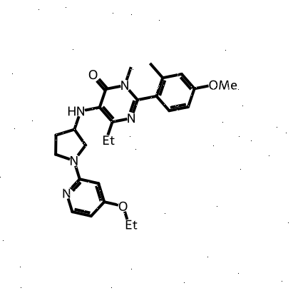 CCOc1ccnc(N2CCC(Nc3c(CC)nc(-c4ccc(OC)cc4C)n(C)c3=O)C2)c1